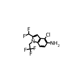 Nc1ccc2c(cc(C(F)F)n2CC(F)(F)F)c1Cl